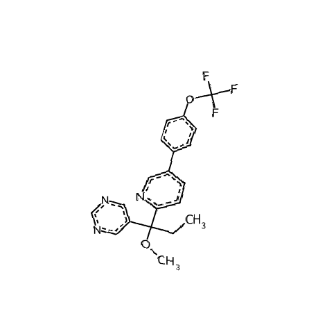 CCC(OC)(c1cncnc1)c1ccc(-c2ccc(OC(F)(F)F)cc2)cn1